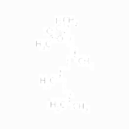 C=CC(C)(CCC=C(C)CCC=C(C)CCC=C(C)C)OC(C)=O